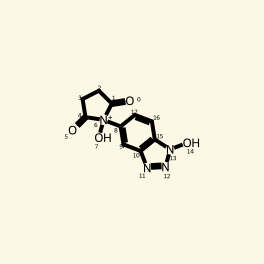 O=C1CCC(=O)[N+]1(O)c1[c]c2nnn(O)c2cc1